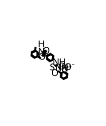 Cc1cccc(C)c1NS(=O)(=O)c1ccc(NC(=S)NC(=O)c2ccccc2[N+](=O)[O-])cc1